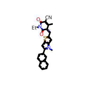 CCN1C(=O)C(C#N)=C(C)/C(=C/c2cc3c(cc(-c4ccc5ccccc5c4)n3C)s2)C1=O